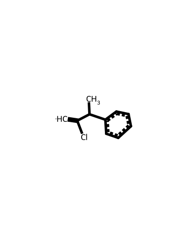 [CH]=C(Cl)C(C)c1ccccc1